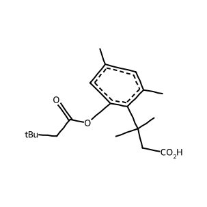 Cc1cc(C)c(C(C)(C)CC(=O)O)c(OC(=O)CC(C)(C)C)c1